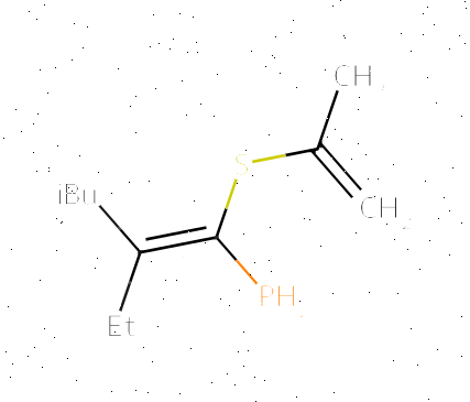 C=C(C)S/C(P)=C(/CC)C(C)CC